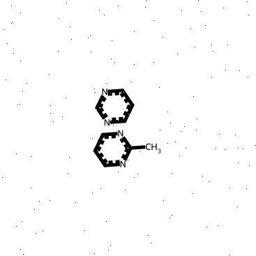 Cc1ncccn1.c1cncnc1